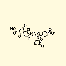 O=C(O)c1cn(C2CC2)c2c(Cl)c(N3CCC(N(c4cncc(Cl)n4)S(=O)(=O)c4ccc([N+](=O)[O-])cc4)C3)c(F)cc2c1=O